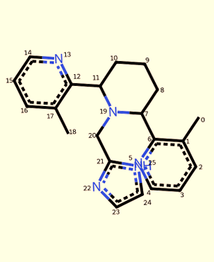 Cc1cccnc1C1CCCC(c2ncccc2C)N1Cc1ncc[nH]1